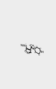 C=C(c1cnoc1NC)N1CCNCC1